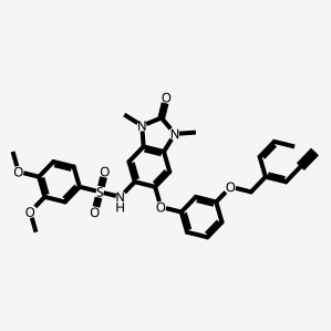 C#C/C=C(\C=C/C)COc1cccc(Oc2cc3c(cc2NS(=O)(=O)c2ccc(OC)c(OC)c2)n(C)c(=O)n3C)c1